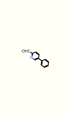 O=[C]c1ccc(-c2ccccc2)cn1